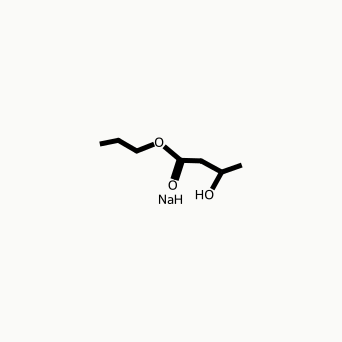 CCCOC(=O)CC(C)O.[NaH]